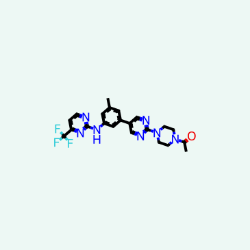 CC(=O)N1CCN(c2ncc(-c3cc(C)cc(Nc4nccc(C(F)(F)F)n4)c3)cn2)CC1